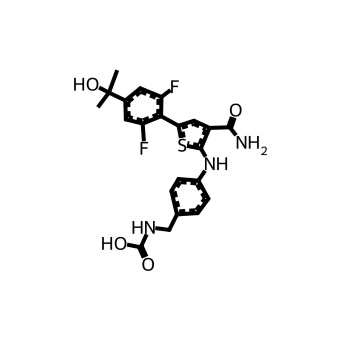 CC(C)(O)c1cc(F)c(-c2cc(C(N)=O)c(Nc3ccc(CNC(=O)O)cc3)s2)c(F)c1